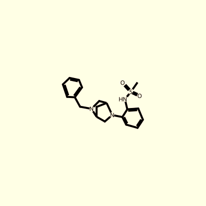 CS(=O)(=O)Nc1ccccc1N1CC2CC1CN2Cc1ccccc1